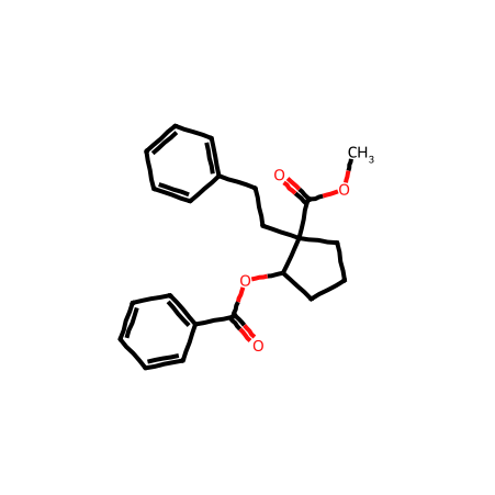 COC(=O)C1(CCc2ccccc2)CCCC1OC(=O)c1ccccc1